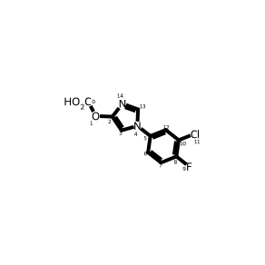 O=C(O)Oc1cn(-c2ccc(F)c(Cl)c2)cn1